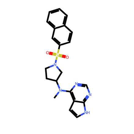 CN(c1ncnc2[nH]ccc12)C1CCN(S(=O)(=O)c2ccc3ccccc3c2)C1